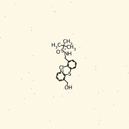 CC(C)(C)[S+]([O-])NCc1cccc(Sc2ncccc2CO)c1Cl